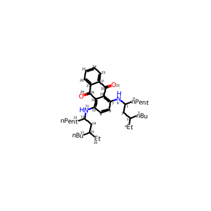 CCCCCC(CC(CC)CCCC)Nc1ccc(NC(CCCCC)CC(CC)CCCC)c2c1C(=O)c1ccccc1C2=O